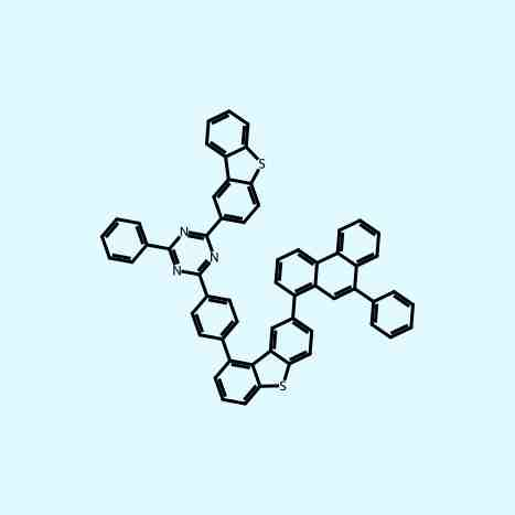 c1ccc(-c2nc(-c3ccc(-c4cccc5sc6ccc(-c7cccc8c7cc(-c7ccccc7)c7ccccc78)cc6c45)cc3)nc(-c3ccc4sc5ccccc5c4c3)n2)cc1